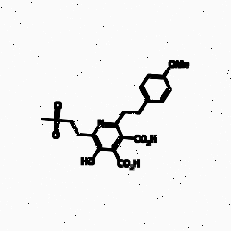 COc1ccc(CCc2nc(CCS(C)(=O)=O)c(O)c(C(=O)O)c2C(=O)O)cc1